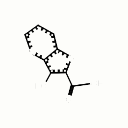 O=C(O)c1sc2cccnc2c1O